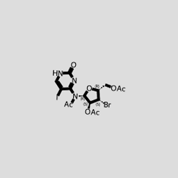 CC(=O)OC[C@H]1O[C@@H](N(C(C)=O)c2nc(=O)[nH]cc2I)[C@H](OC(C)=O)[C@H]1Br